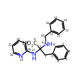 O=C(O)C(Cc1ccccc1)(NCc1ccccc1)Nc1ccccn1